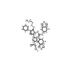 CCCCn1c(-c2ccccc2)nc(-c2ccc(C(C)=O)s2)c1CN(Cc1ccc2c(c1)OCO2)Cc1ccc2c(c1)OCO2